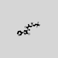 CC(C[S+]([O-])CCC(F)(F)F)C(=O)N(C)c1cn(-c2cccnc2)nc1Cl